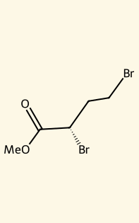 COC(=O)[C@@H](Br)CCBr